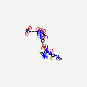 CCN(C(=O)OCc1ccc(NC(=O)[C@H](C)NC(=O)[C@@H](NC(=O)CCCCCN2C(=O)C=CC2=O)C(C)C)cc1)c1cc([C@]2(c3nncn3C)C[C@@H](C)C2)cc(N2Cc3c(SC)cc(CN4CCC[C@H](C)C4)cc3C2=O)n1